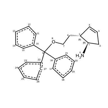 N[C@@H]1CC=C[C@H]1CCOC(c1ccccc1)(c1ccccc1)c1ccccc1